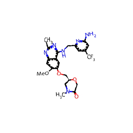 COc1cc2nc(C)nc(NCc3cc(C(F)(F)F)cc(N)n3)c2cc1OC[C@@H]1CN(C)C(=O)CO1